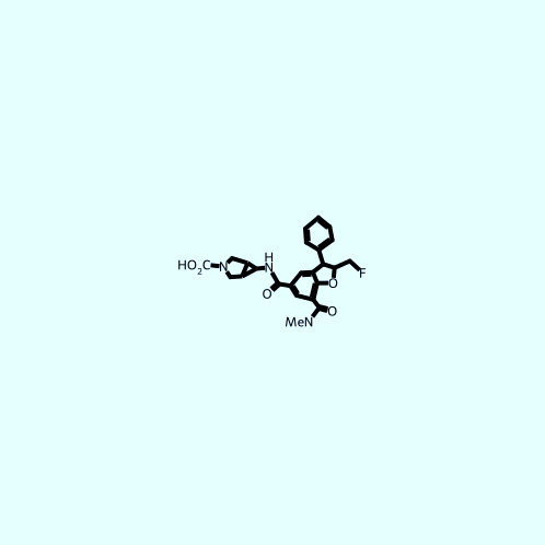 CNC(=O)c1cc(C(=O)NC2C3CN(C(=O)O)CC32)cc2c1OC(CF)C2c1ccccc1